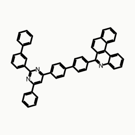 c1ccc(-c2cccc(-c3nc(-c4ccccc4)cc(-c4ccc(-c5ccc(-c6nc7ccccc7c7c6ccc6ccccc67)cc5)cc4)n3)c2)cc1